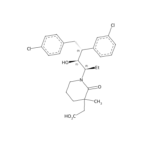 CC[C@H]([C@@H](O)[C@H](Cc1ccc(Cl)cc1)c1cccc(Cl)c1)N1CCCC(C)(CC(=O)O)C1=O